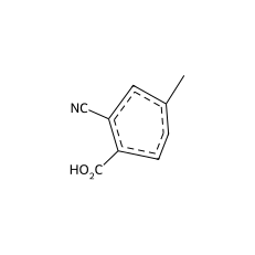 Cc1ccc(C(=O)O)c(C#N)c1